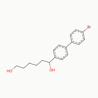 OCCCCCC(O)c1ccc(-c2ccc(Br)cc2)cc1